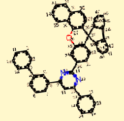 c1ccc(-c2cccc(-c3cc(-c4ccccc4)nc(-c4ccc5c(c4)Oc4c(ccc6ccccc46)C54c5ccccc5-c5ccccc54)n3)c2)cc1